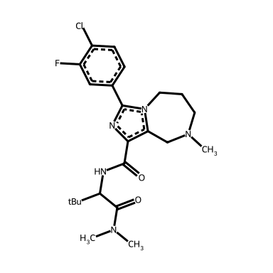 CN1CCCn2c(-c3ccc(Cl)c(F)c3)nc(C(=O)NC(C(=O)N(C)C)C(C)(C)C)c2C1